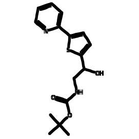 CC(C)(C)OC(=O)NCC(O)c1ccc(-c2ccccn2)s1